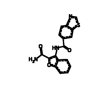 NC(=O)c1oc2ccccc2c1NC(=O)c1ccc2ncsc2c1